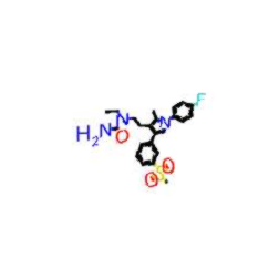 CCN(CCc1c(-c2cccc(S(C)(=O)=O)c2)cn(-c2ccc(F)cc2)c1C)C(N)=O